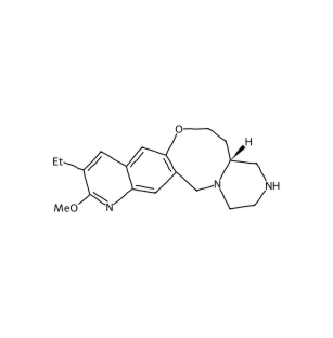 CCc1cc2cc3c(cc2nc1OC)CN1CCNC[C@H]1CCO3